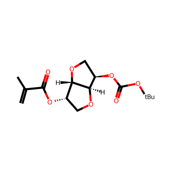 C=C(C)C(=O)O[C@H]1CO[C@H]2[C@H]1OC[C@H]2OC(=O)OC(C)(C)C